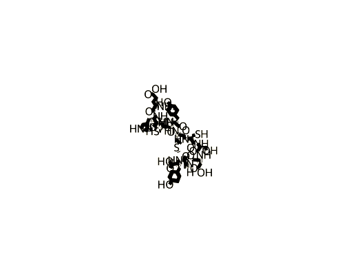 CSCC[C@H](NC(=O)[C@H](Cc1ccc(O)cc1)NC(=O)[C@H](CS)NC(=O)[C@H](Cc1c[nH]cn1)NC(=O)[C@@H](N)CCC(=O)O)C(=O)N[C@@H](CS)C(=O)N[C@@H](CO)C(=O)N[C@@H](CC(=O)O)C(=O)N[C@@H](C)C(=O)N[C@@H](Cc1ccc(O)cc1)C(=O)O